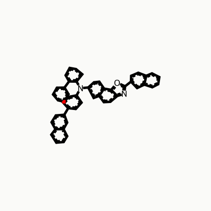 c1ccc(-c2ccccc2N(c2ccc(-c3ccc4ccccc4c3)cc2)c2ccc3c(ccc4nc(-c5ccc6ccccc6c5)oc43)c2)cc1